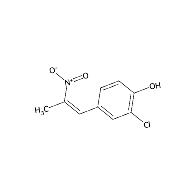 CC(=Cc1ccc(O)c(Cl)c1)[N+](=O)[O-]